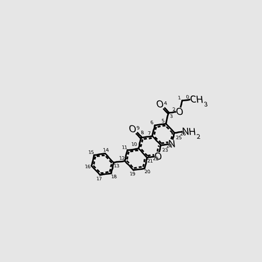 CCOC(=O)c1cc2c(=O)c3cc(-c4ccccc4)ccc3oc2nc1N